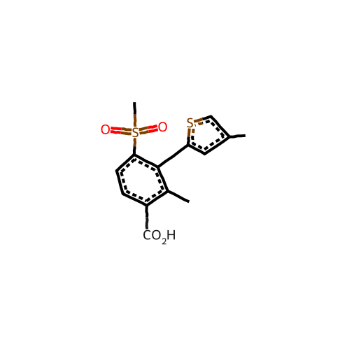 Cc1csc(-c2c(S(C)(=O)=O)ccc(C(=O)O)c2C)c1